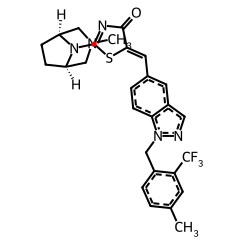 Cc1ccc(Cn2ncc3cc(/C=C4\SC(N5[C@@H]6CC[C@H]5CN(C)C6)=NC4=O)ccc32)c(C(F)(F)F)c1